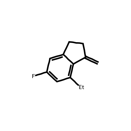 C=C1CCc2cc(F)cc(CC)c21